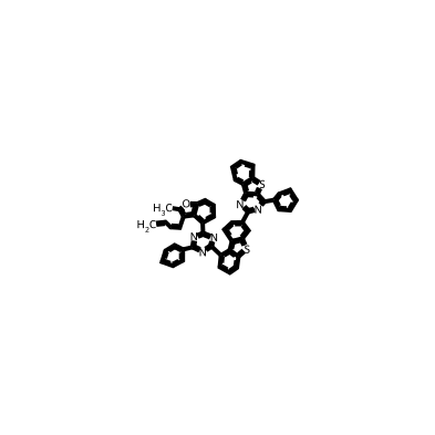 C=C/C=C\c1c(C)oc2cccc(-c3nc(-c4ccccc4)nc(-c4cccc5sc6cc(-c7nc(-c8ccccc8)c8sc9ccccc9c8n7)ccc6c45)n3)c12